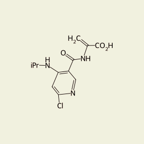 C=C(NC(=O)c1cnc(Cl)cc1NC(C)C)C(=O)O